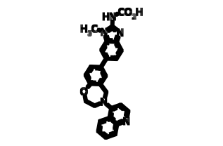 Cn1c(NC(=O)O)nc2ccc(-c3ccc4c(c3)CN(c3ccnc5ccccc35)CCO4)cc21